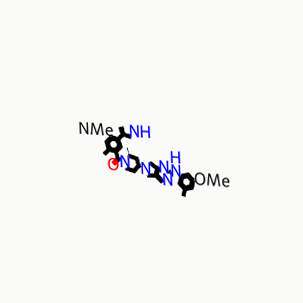 C=C(C=N)c1cc(C(=O)N2CC[C@@H](N3Cc4cnc(Nc5cc(C)cc(OC)c5)nc4C3)C[C@H]2C)c(C)cc1NC